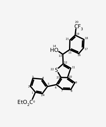 CCOC(=O)c1cccc(-c2cccc3cc(C(O)c4cccc(C(F)(F)F)c4)sc23)c1